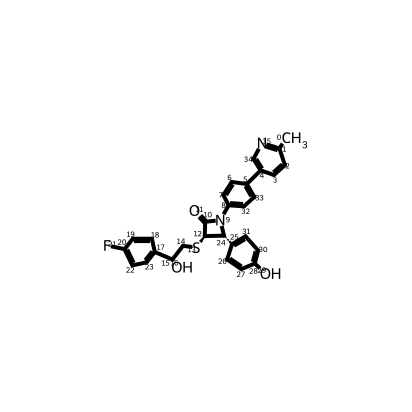 Cc1ccc(-c2ccc(N3C(=O)[C@H](SC[C@@H](O)c4ccc(F)cc4)[C@H]3c3ccc(O)cc3)cc2)cn1